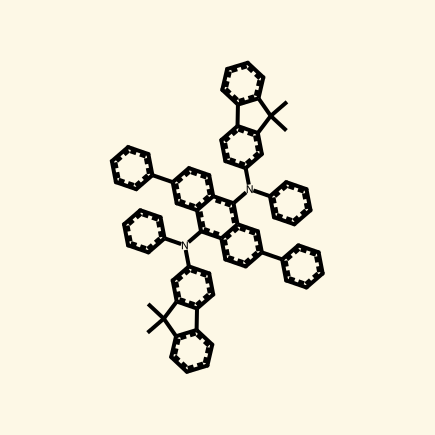 CC1(C)c2ccccc2-c2ccc(N(c3ccccc3)c3c4ccc(-c5ccccc5)cc4c(N(c4ccccc4)c4ccc5c(c4)C(C)(C)c4ccccc4-5)c4ccc(-c5ccccc5)cc34)cc21